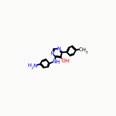 Cc1ccc(-c2ncnc(Nc3ccc(N)cc3)c2O)cc1